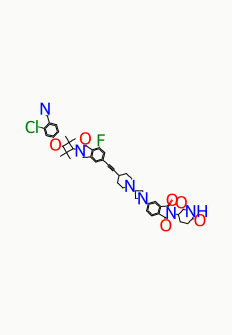 CC1(C)[C@H](Oc2ccc(C#N)c(Cl)c2)C(C)(C)[C@H]1N1Cc2cc(C#CC3CCN(C4CN(c5ccc6c(c5)C(=O)N(C5CCC(=O)NC5=O)C6=O)C4)CC3)cc(F)c2C1=O